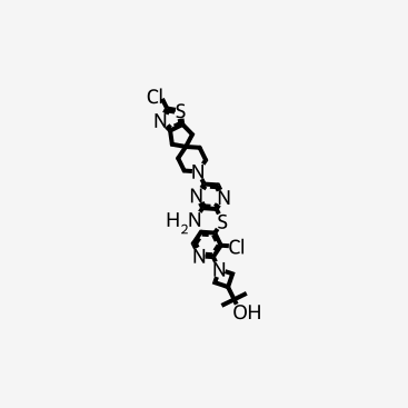 CC(C)(O)C1CN(c2nccc(Sc3ncc(N4CCC5(CC4)Cc4nc(Cl)sc4C5)nc3N)c2Cl)C1